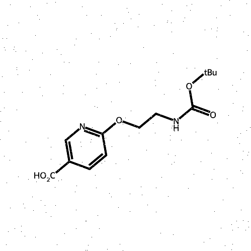 CC(C)(C)OC(=O)NCCOc1ccc(C(=O)O)cn1